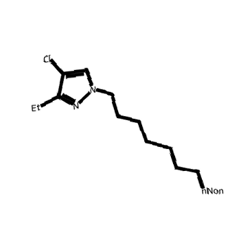 CCCCCCCCCCCCCCCCn1cc(Cl)c(CC)n1